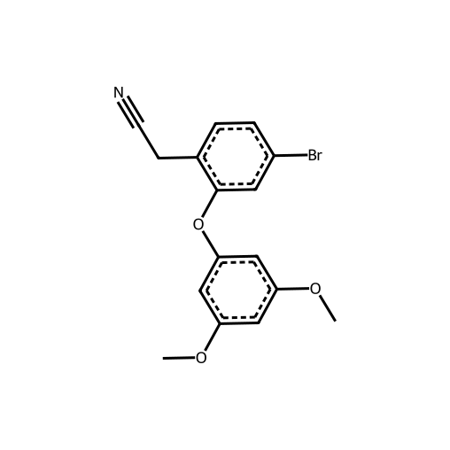 COc1cc(OC)cc(Oc2cc(Br)ccc2CC#N)c1